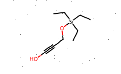 CC[Si](CC)(CC)OCC#CO